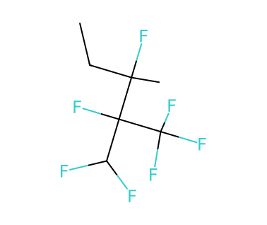 CCC(C)(F)C(F)(C(F)F)C(F)(F)F